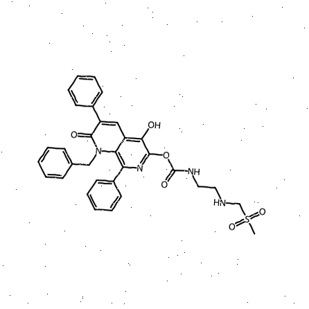 CS(=O)(=O)CNCCNC(=O)Oc1nc(-c2ccccc2)c2c(cc(-c3ccccc3)c(=O)n2Cc2ccccc2)c1O